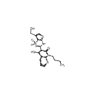 CCCCn1c(=O)c(C2=NS(=O)(=O)c3c(CO)csc3N2)c(O)c2cccnc21